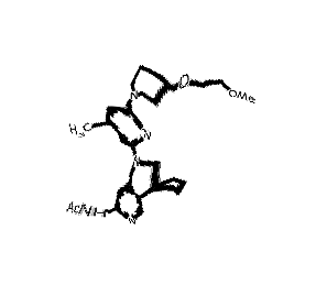 COCCOC1CCN(c2cc(C)cc(N3CC4(CC4)c4cnc(NC(C)=O)cc43)n2)C1